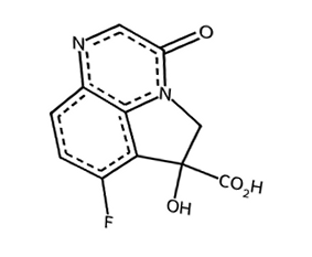 O=C(O)C1(O)Cn2c(=O)cnc3ccc(F)c1c32